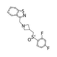 [O-][S+](CC1CN(Cc2nsc3ccccc23)C1)c1ccc(F)cc1F